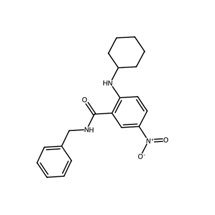 O=C(NCc1ccccc1)c1cc([N+](=O)[O-])ccc1NC1CCCCC1